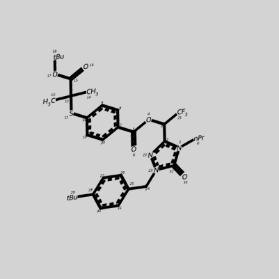 CCCn1c(C(OC(=O)c2ccc(SC(C)(C)C(=O)OC(C)(C)C)cc2)C(F)(F)F)nn(Cc2ccc(C(C)(C)C)cc2)c1=O